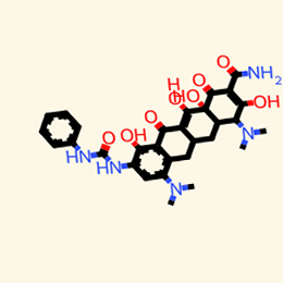 CN(C)c1cc(NC(=O)Nc2ccccc2)c(O)c2c1CC1CC3C(N(C)C)C(O)=C(C(N)=O)C(=O)C3(O)C(O)=C1C2=O